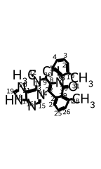 Cc1ccccc1-n1c(C(C)N(C)c2ncnc3[nH]cnc23)cc2cccc(C)c2c1=O